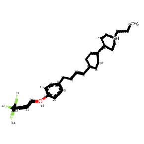 CCC[SiH]1CCC(C2CCC(CCCCc3ccc(OCCC(F)(F)F)cc3)CC2)CC1